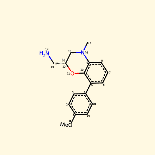 COc1ccc(-c2cccc3c2O[C@H](CN)CN3C)cc1